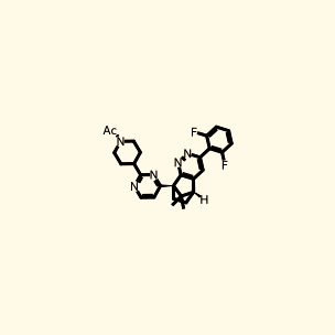 CC(=O)N1CCC(c2nccc([C@@]34CC[C@@H](c5cc(-c6c(F)cccc6F)nnc53)C4(C)C)n2)CC1